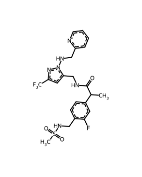 CC(C(=O)NCc1cc(C(F)(F)F)nn1NCc1ccccn1)c1ccc(CNS(C)(=O)=O)c(F)c1